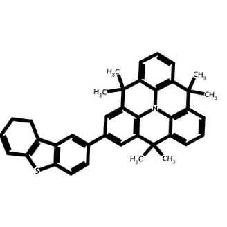 CC1(C)c2cccc3c2N2c4c1cccc4C(C)(C)c1cc(-c4ccc5sc6c(c5c4)CCC=C6)cc(c12)C3(C)C